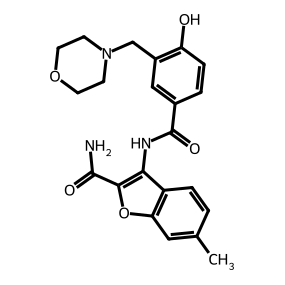 Cc1ccc2c(NC(=O)c3ccc(O)c(CN4CCOCC4)c3)c(C(N)=O)oc2c1